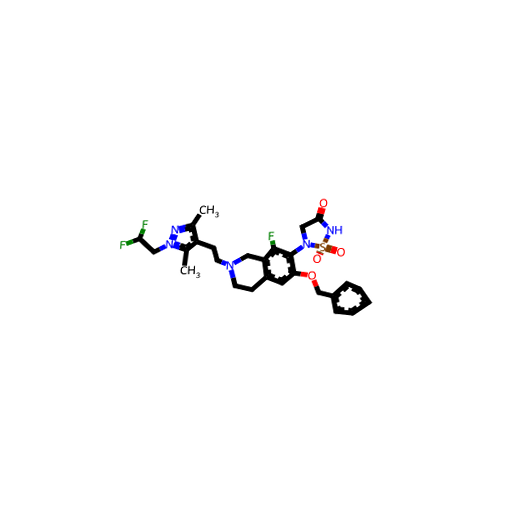 Cc1nn(CC(F)F)c(C)c1CCN1CCc2cc(OCc3ccccc3)c(N3CC(=O)NS3(=O)=O)c(F)c2C1